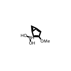 COc1cc2cc-2c1.OBO